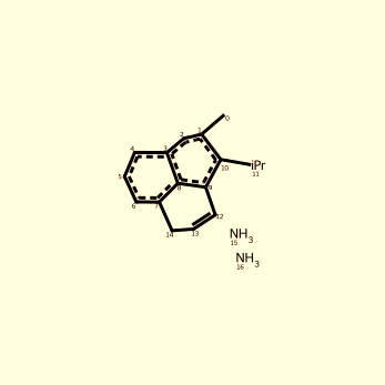 Cc1cc2cccc3c2c(c1C(C)C)C=CC3.N.N